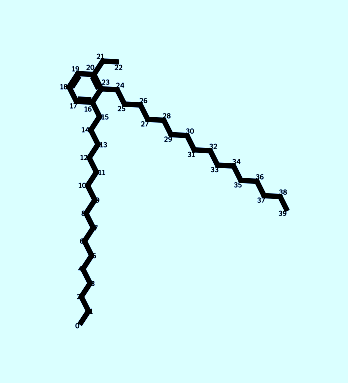 CCCCCCCCCCCCCCCCc1cccc(CC)c1CCCCCCCCCCCCCCCC